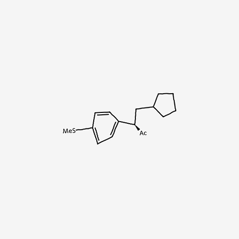 CSc1ccc([C@@H](CC2CCCC2)C(C)=O)cc1